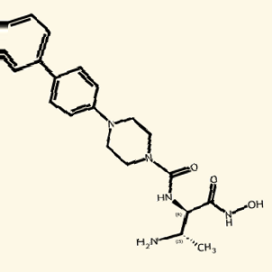 C[C@H](N)[C@@H](NC(=O)N1CCN(c2ccc(-c3ccccc3)cc2)CC1)C(=O)NO